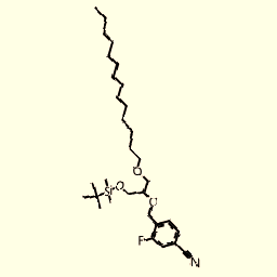 CCCCCCCCCCCCCCOCC(CO[Si](C)(C)C(C)(C)C)OCc1ccc(C#N)cc1F